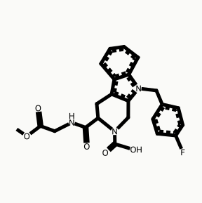 COC(=O)CNC(=O)C1Cc2c(n(Cc3ccc(F)cc3)c3ccccc23)CN1C(=O)O